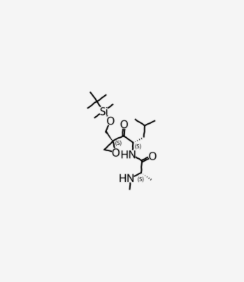 CN[C@@H](C)C(=O)N[C@@H](CC(C)C)C(=O)[C@@]1(CO[Si](C)(C)C(C)(C)C)CO1